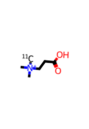 C[N+](C)([11CH3])CCC(=O)O